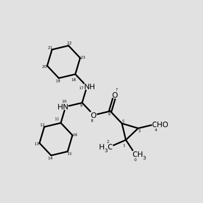 CC1(C)C(C=O)C1C(=O)OC(NC1CCCCC1)NC1CCCCC1